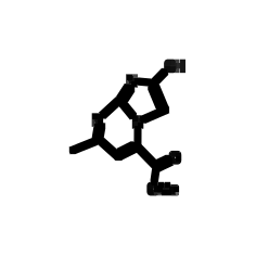 COC(=O)c1cc(C)nc2nc(O)cn12